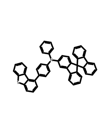 c1ccc(N(c2ccc(-c3cccc4sc5ccccc5c34)cc2)c2ccc3c(c2)-c2ccccc2C32c3ccccc3-c3ccccc32)cc1